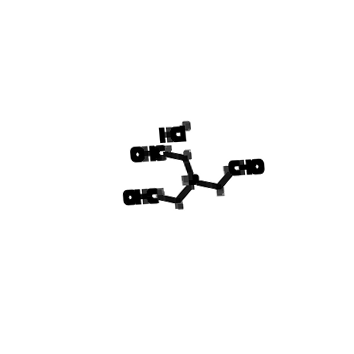 Cl.O=CCP(CC=O)CC=O